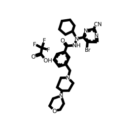 N#Cc1ncc(Br)c(N(NC(=O)c2cccc(CN3CCC(N4CCOCC4)CC3)c2)C2CCCCC2)n1.O=C(O)C(F)(F)F